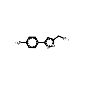 NCc1cc(-c2ccc([N+](=O)[O-])cc2)no1